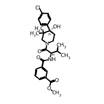 COC(=O)c1cccc(C(=O)N[C@@H](C(=O)N2CC[C@](O)(c3ccc(Cl)cc3)C(C)(C)C2)C(C)C)c1